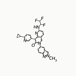 Cn1cc2cc(-n3cc4ccc(NC(F)C(F)F)nc4c(-c4ccc(C5CC5)nc4)c3=O)ccc2n1